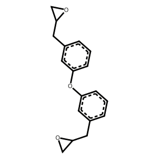 c1cc(CC2CO2)cc(Oc2cccc(CC3CO3)c2)c1